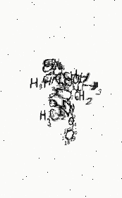 C=C(C)C(CO)c1cc(-n2nc(COCc3ccccc3)n(CC)c2=O)c(F)cc1C(=O)Nc1c(C)cnc(OC)c1C